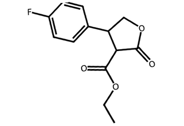 CCOC(=O)C1C(=O)OCC1c1ccc(F)cc1